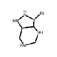 CCN1NNC2CNCNC21